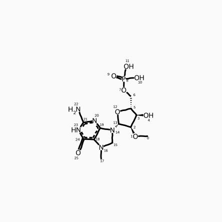 CO[C@@H]1[C@H](O)[C@@H](COP(=O)(O)O)O[C@H]1N1CN(C)c2c1nc(N)[nH]c2=O